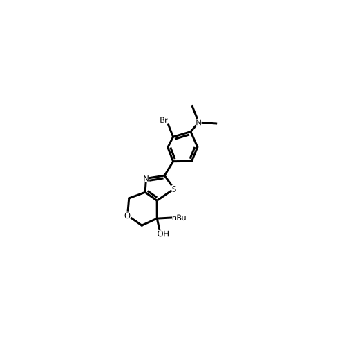 CCCCC1(O)COCc2nc(-c3ccc(N(C)C)c(Br)c3)sc21